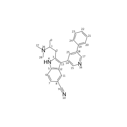 CC(Cc1[nH]c2ccc(C#N)cc2c1-c1cncc(-c2ccccc2)c1)N(C)C